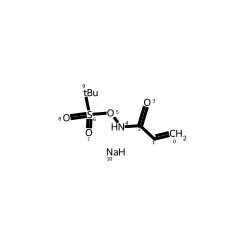 C=CC(=O)NOS(=O)(=O)C(C)(C)C.[NaH]